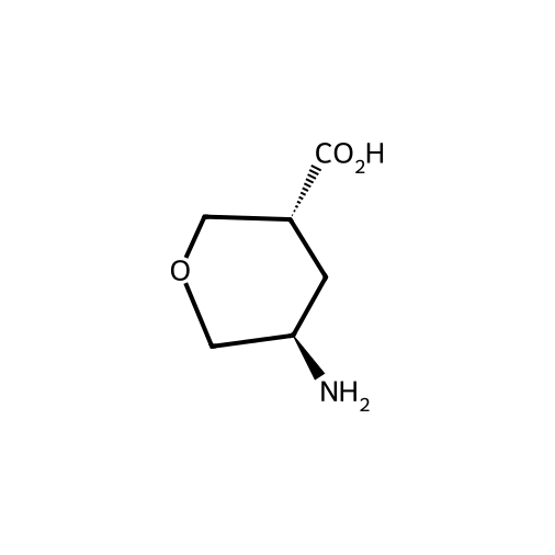 N[C@H]1COC[C@H](C(=O)O)C1